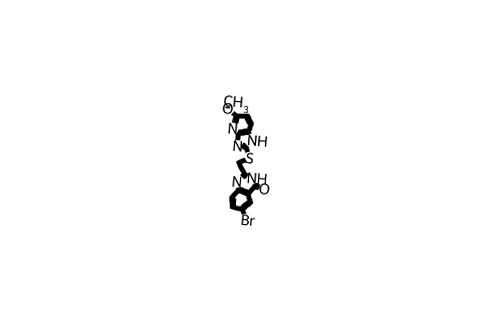 COc1ccc2[nH]c(SCc3nc4ccc(Br)cc4c(=O)[nH]3)nc2n1